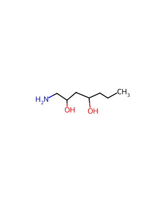 CCCC(O)CC(O)CN